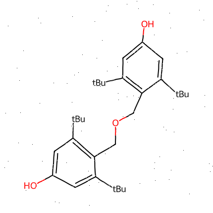 CC(C)(C)c1cc(O)cc(C(C)(C)C)c1COCc1c(C(C)(C)C)cc(O)cc1C(C)(C)C